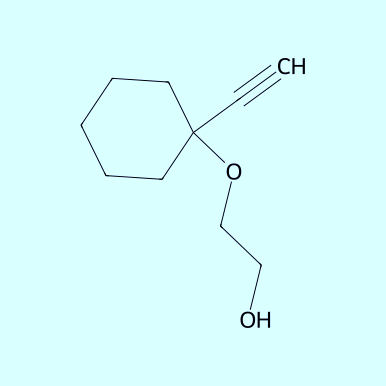 C#CC1(OCCO)CCCCC1